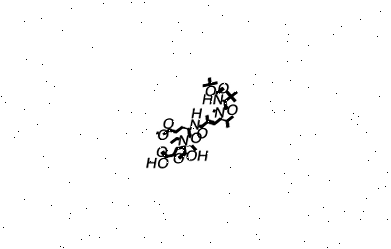 CCN(C(=O)[C@@H](CCC(=O)OC)NC(=O)/C(C)=C/[C@H](C(C)C)N(C)C(=O)[C@@H](NC(=O)OC(C)(C)C)C(C)(C)C)[C@](CC)(CCC(=O)O)C(=O)O